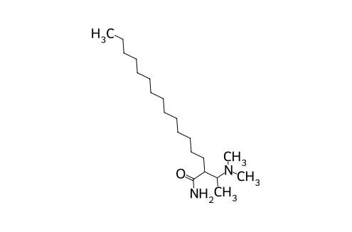 CCCCCCCCCCCCCCC(C(N)=O)C(C)N(C)C